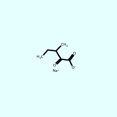 CCC(C)C(=O)C(=O)[O-].[Na+]